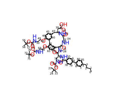 CCCCc1ccc(-c2ccc(C(=O)N[C@@H](CNC(=O)OC(C)(C)C)C(=O)N(C)[C@@H]3C(=O)N[C@@H](C)C(=O)N[C@H](CC(=O)O)Cc4ccc(OCCNC(=O)OC(C)(C)C)c(c4)-c4cc3ccc4OCCNC(=O)OC(C)(C)C)cc2)cc1